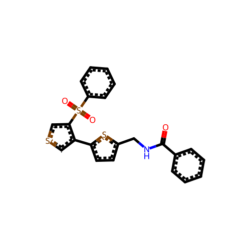 O=C(NCc1ccc(-c2[c]scc2S(=O)(=O)c2ccccc2)s1)c1ccccc1